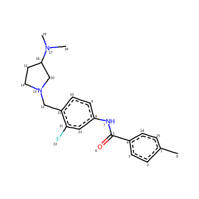 Cc1ccc(C(=O)Nc2ccc(CN3CCC(N(C)C)C3)c(F)c2)cc1